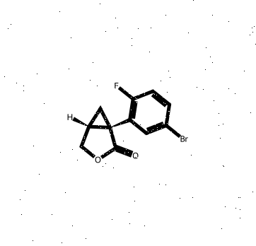 O=C1OC[C@@H]2C[C@]12c1cc(Br)ccc1F